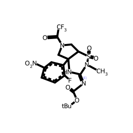 CN1/C(=N/C(=O)OC(C)(C)C)NC2(c3cc([N+](=O)[O-])ccc3F)CN(C(=O)C(F)(F)F)CC2S1(=O)=O